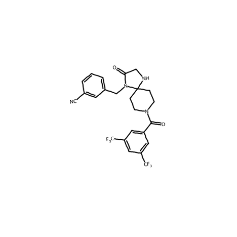 N#Cc1cccc(CN2C(=O)CNC23CCN(C(=O)c2cc(C(F)(F)F)cc(C(F)(F)F)c2)CC3)c1